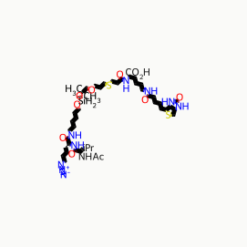 CC(=O)N[C@@H](C(=O)N[C@H](CCCCN=[N+]=[N-])C(=O)NCCCCCCO[SiH2]OC(C)(C)COCCCSCCC(=O)N[C@H](CCCCNC(=O)CCCCC1SCC2NC(=O)NC21)C(=O)O)C(C)C